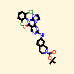 CC(C)(C)OC(=O)N1CCc2ccc(Nc3ncc4c(=O)n(-c5c(Cl)cccc5Cl)c5nccn5c4n3)cc2C1